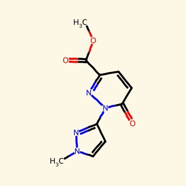 COC(=O)c1ccc(=O)n(-c2ccn(C)n2)n1